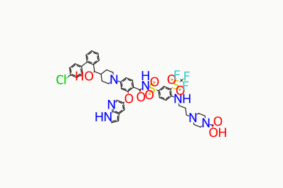 O=C(NS(=O)(=O)c1ccc(NCCCN2CCN(C(=O)O)CC2)c(S(=O)(=O)C(F)(F)F)c1)c1ccc(N2CCC(C(O)c3ccccc3-c3ccc(Cl)cc3)CC2)cc1Oc1cnc2[nH]ccc2c1